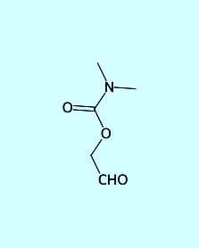 CN(C)C(=O)OCC=O